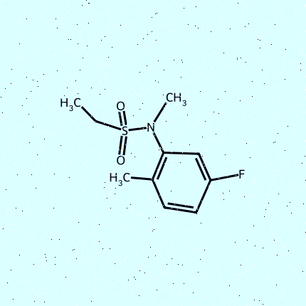 CCS(=O)(=O)N(C)c1cc(F)ccc1C